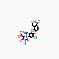 COC(=O)c1nn(-c2cc(Cl)c(Oc3ccc4c(c3)CCNC4=O)c(Cl)c2)c(=O)[nH]c1=O